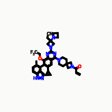 C=CC(=O)N1CC2(CCN(c3nc(N4CC(CC#N)(N5CCC5)C4)nc4c(OCC(F)(F)F)c(-c5c(C)ccc6[nH]ncc56)c(C5CC5)cc34)CC2)C1